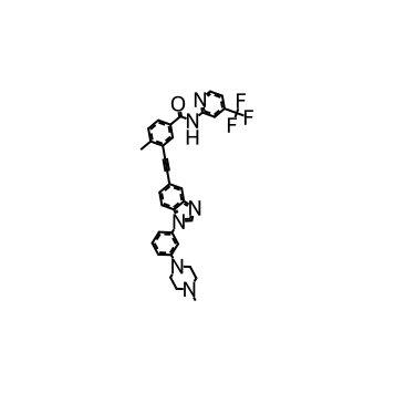 Cc1ccc(C(=O)Nc2cc(C(F)(F)F)ccn2)cc1C#Cc1ccc2c(c1)ncn2-c1cccc(N2CCN(C)CC2)c1